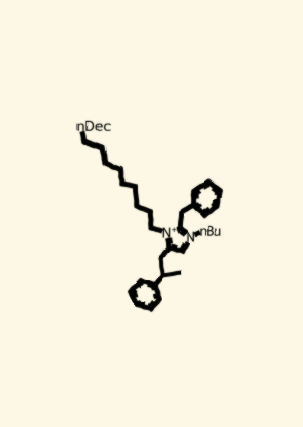 CCCCCCCCCCCCCCCCCCC[n+]1c(CC(C)c2ccccc2)cn(CCCC)c1Cc1ccccc1